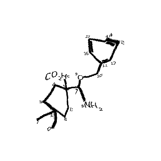 CC1(C)CCC(C(=O)O)(C(N)OCc2ccccc2)CC1